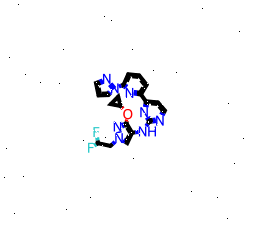 FC(F)Cn1cc(Nc2nccc(-c3cccc(-n4cccn4)n3)n2)c(OC2CC2)n1